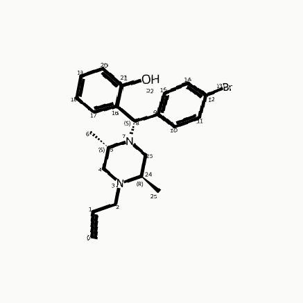 C=CCN1C[C@H](C)N([C@@H](c2ccc(Br)cc2)c2ccccc2O)C[C@H]1C